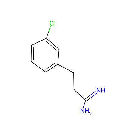 N=C(N)CCc1cccc(Cl)c1